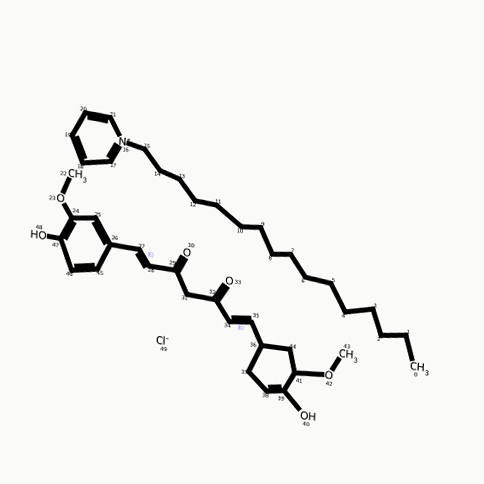 CCCCCCCCCCCCCCCC[n+]1ccccc1.COc1cc(/C=C/C(=O)CC(=O)/C=C/C2CC=C(O)C(OC)C2)ccc1O.[Cl-]